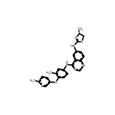 Cc1ccc(Oc2ccc(Nc3ncnc4ccc(NC5=N[C@@H](C)CO5)cc34)cc2C)cn1